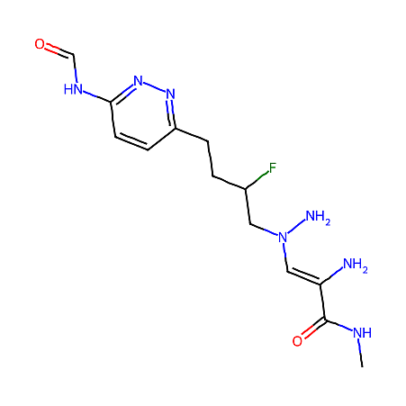 CNC(=O)/C(N)=C/N(N)CC(F)CCc1ccc(NC=O)nn1